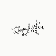 CC(C)(C)OC(=O)Nc1cccc(N2CCCOC2)n1